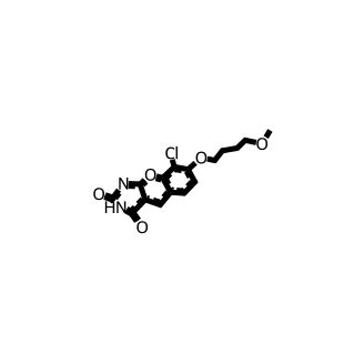 COCCCCOc1ccc2cc3c(=O)[nH]c(=O)nc-3oc2c1Cl